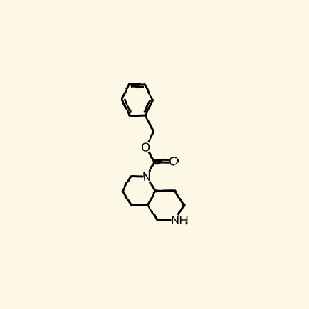 O=C(OCc1ccccc1)N1CCCC2CNCCC21